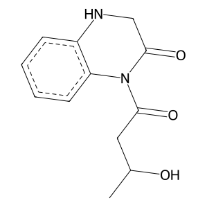 CC(O)CC(=O)N1C(=O)CNc2ccccc21